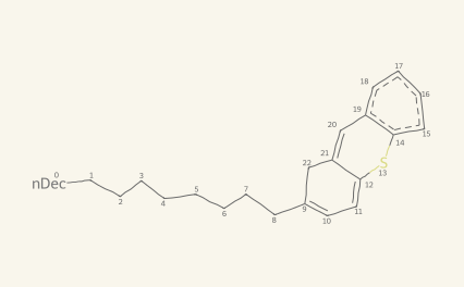 CCCCCCCCCCCCCCCCCCC1=CC=C2Sc3ccccc3C=C2C1